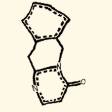 O=c1ccnc2n1Cc1ccccc1C2